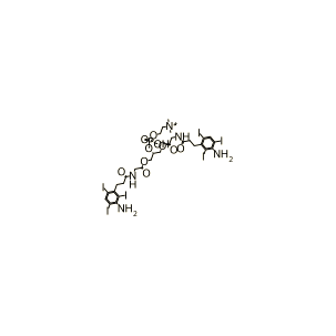 C[N+](C)(C)CCOP(=O)(O)OC(COC(=O)CNC(=O)CCc1c(I)cc(I)c(N)c1I)COC(=O)CNC(=O)CCc1c(I)cc(I)c(N)c1I